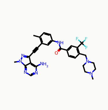 Cc1ccc(NC(=O)c2ccc(CN3CCN(C)CC3)c(C(F)(F)F)c2)cc1C#Cc1nn(C)c2ncnc(N)c12